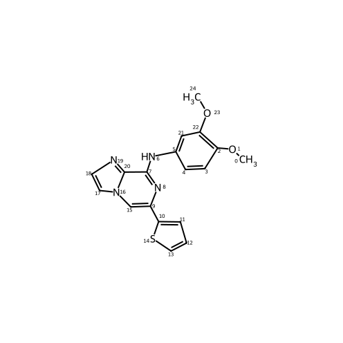 COc1ccc(Nc2nc(-c3cccs3)cn3ccnc23)cc1OC